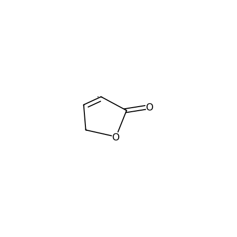 O=C1[C]=CCO1